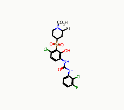 CCC1CC(S(=O)(=O)c2c(Cl)ccc(NC(=O)Nc3cccc(F)c3Cl)c2O)CCN1C(=O)O